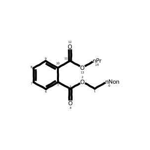 CCCCCCCCCCOC(=O)c1ccccc1C(=O)OCCC